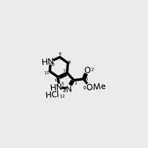 COC(=O)c1n[nH]c2c1CCNC2.Cl